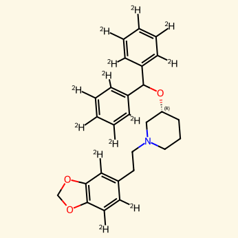 [2H]c1c([2H])c([2H])c(C(O[C@@H]2CCCN(CCc3c([2H])c([2H])c4c(c3[2H])OCO4)C2)c2c([2H])c([2H])c([2H])c([2H])c2[2H])c([2H])c1[2H]